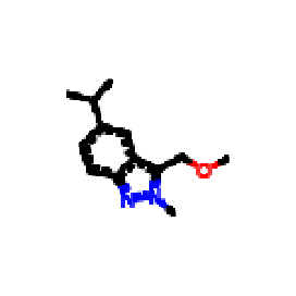 COCc1c2cc(C(C)C)ccc2nn1C